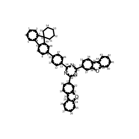 c1ccc2c(c1)-c1ccc(-c3ccc(-c4nc(-c5ccc6c(c5)oc5ccccc56)nc(-c5ccc6c(c5)oc5ccccc56)n4)cc3)cc1C21CCCCC1